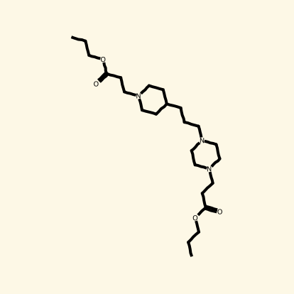 CCCOC(=O)CCN1CCC(CCCN2CCN(CCC(=O)OCCC)CC2)CC1